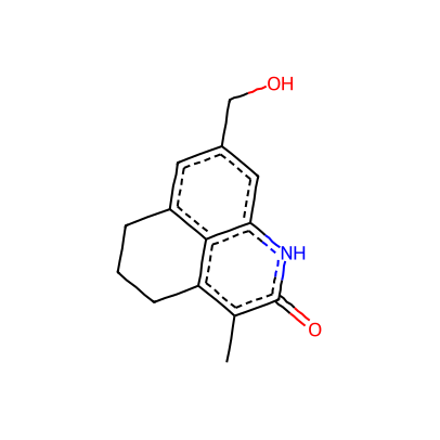 Cc1c2c3c(cc(CO)cc3[nH]c1=O)CCC2